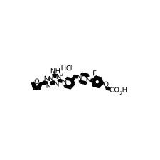 Cl.Nc1nc(N2CCCC(CN3CCN(c4ccc(OCC(=O)O)cc4F)CC3)C2)nc2nc(-c3ccco3)nn12